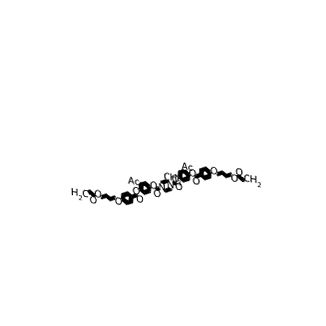 C=CC(=O)OCCCCOc1ccc(C(=O)Oc2ccc(OC(=O)N3CCN(C(=O)Oc4ccc(OC(=O)c5ccc(OCCCCOC(=O)C=C)cc5)c(C(C)=O)c4)C(C)C3)cc2C(C)=O)cc1